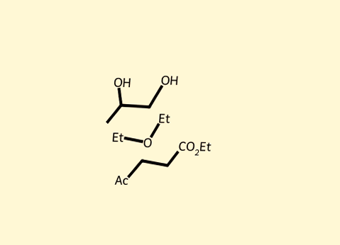 CC(O)CO.CCOC(=O)CCC(C)=O.CCOCC